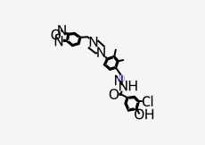 Cc1c(/C=N/NC(=O)c2ccc(O)c(Cl)c2)ccc(N2CCN(Cc3ccc4nonc4c3)CC2)c1C